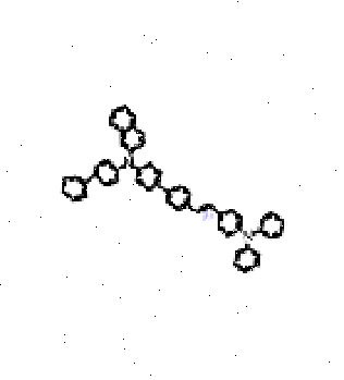 C(=C\c1ccc(N(c2ccccc2)c2ccccc2)cc1)/c1ccc(-c2ccc(N(c3ccc(-c4ccccc4)cc3)c3ccc4ccccc4c3)cc2)cc1